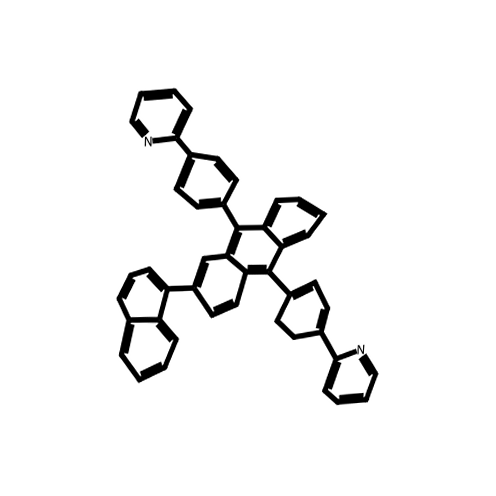 C1=C(c2ccccn2)CCC(c2c3ccccc3c(-c3ccc(-c4ccccn4)cc3)c3cc(-c4cccc5ccccc45)ccc23)=C1